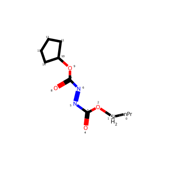 CCC[SiH2]OC(=O)N=NC(=O)OC1CCCC1